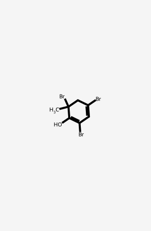 CC1(Br)CC(Br)=CC(Br)=C1O